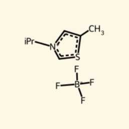 Cc1c[n+](C(C)C)cs1.F[B-](F)(F)F